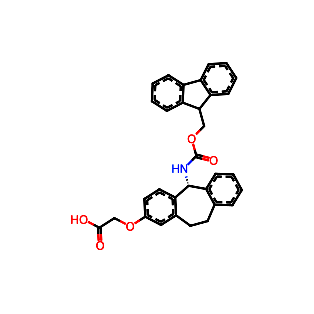 O=C(O)COc1ccc2c(c1)CCc1ccccc1[C@H]2NC(=O)OCC1c2ccccc2-c2ccccc21